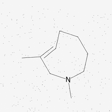 C/C1=C\CCCCN(C)C1